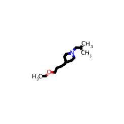 CCOCCCC1CCN(CC(C)C)CC1